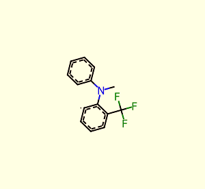 CN(c1ccccc1)c1[c]cccc1C(F)(F)F